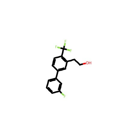 OCCc1[c]c(-c2cccc(F)c2)ccc1C(F)(F)F